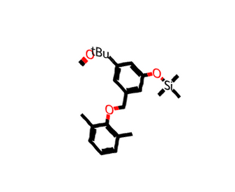 C=O.Cc1cccc(C)c1OCc1cc(O[Si](C)(C)C)cc(C(C)(C)C)c1